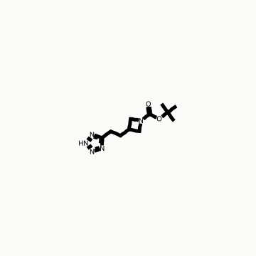 CC(C)(C)OC(=O)N1CC(CCc2nn[nH]n2)C1